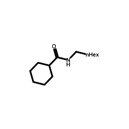 CCCCCCCNC(=O)C1CCCCC1